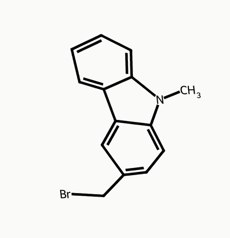 Cn1c2ccccc2c2cc(CBr)ccc21